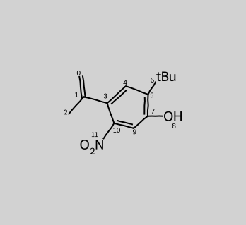 C=C(C)c1cc(C(C)(C)C)c(O)cc1[N+](=O)[O-]